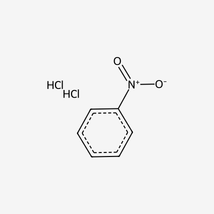 Cl.Cl.O=[N+]([O-])c1ccccc1